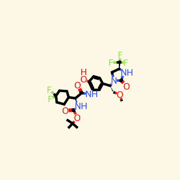 COC[C@H](c1ccc(O)c(NC(=O)[C@@H](NC(=O)OC(C)(C)C)C2CCC(F)(F)CC2)c1)N1C[C@@H](C(F)(F)F)NC1=O